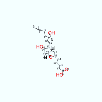 CC#CCCC(C)(O)/C=C/[C@@H]1[C@H]2C[C@H](CCCCC(=O)O)O[C@H]2C[C@H]1O